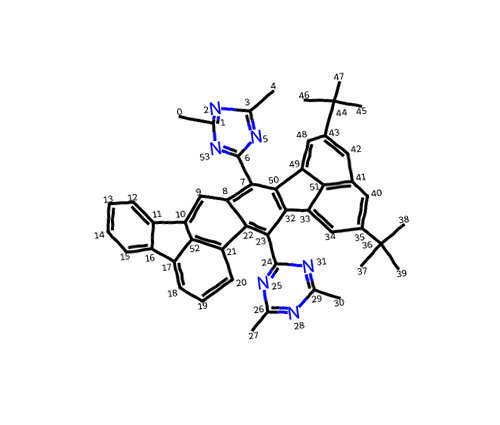 Cc1nc(C)nc(-c2c3cc4c5ccccc5c5cccc(c3c(-c3nc(C)nc(C)n3)c3c6cc(C(C)(C)C)cc7cc(C(C)(C)C)cc(c23)c76)c54)n1